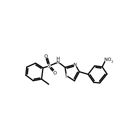 Cc1ccccc1S(=O)(=O)Nc1nc(-c2cccc([N+](=O)[O-])c2)cs1